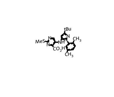 CSc1ncc(Nc2cc(C(C)(C)C)nn2-c2cc(C)ccc2C)c(C(=O)O)n1